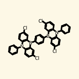 Clc1ccc2c(c1)B(c1ccc(B3c4cc(Cl)ccc4N(c4ccccc4)c4ccc(Cl)cc43)cc1)c1cc(Cl)ccc1N2c1ccccc1